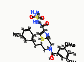 COc1cc(C(=O)N(CCCc2cccc(C#N)c2)Cc2nc(C(=O)NS(N)(=O)=O)cs2)cc(OC)c1C